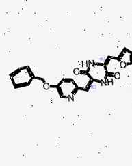 O=c1[nH]/c(=C/c2ccco2)c(=O)[nH]/c1=C/c1ccc(OCc2ccccc2)cn1